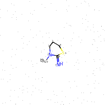 CC(C)(C)N1CCCSC1=N